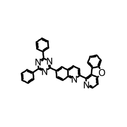 c1ccc(-c2nc(-c3ccccc3)nc(-c3ccc4nc(-c5nccc6oc7ccccc7c56)ccc4c3)n2)cc1